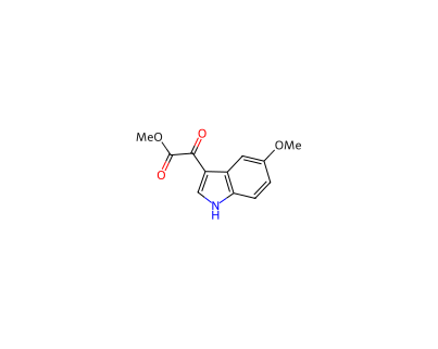 COC(=O)C(=O)c1c[nH]c2ccc(OC)cc12